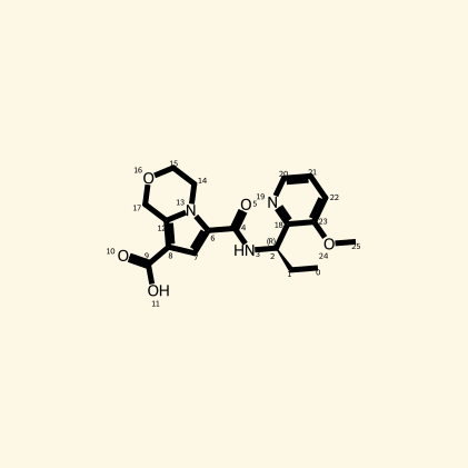 CC[C@@H](NC(=O)c1cc(C(=O)O)c2n1CCOC2)c1ncccc1OC